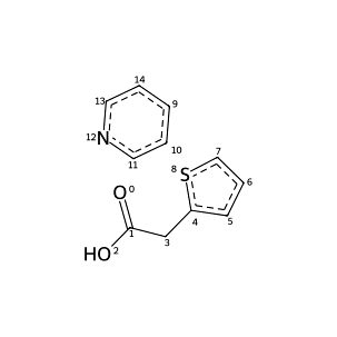 O=C(O)Cc1cccs1.c1ccncc1